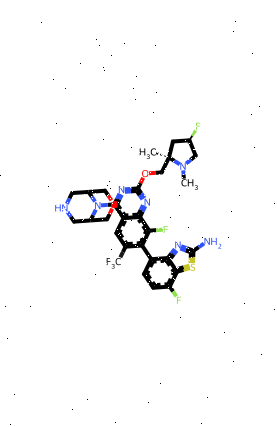 CN1C[C@H](F)C[C@]1(C)COc1nc(N2C3CNCC2COC3)c2cc(C(F)(F)F)c(-c3ccc(F)c4sc(N)nc34)c(F)c2n1